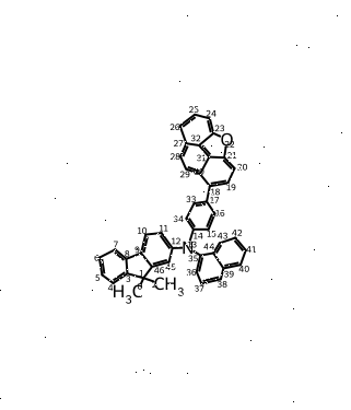 CC1(C)c2ccccc2-c2ccc(N(c3ccc(-c4ccc5oc6cccc7ccc4c5c76)cc3)c3cccc4ccccc34)cc21